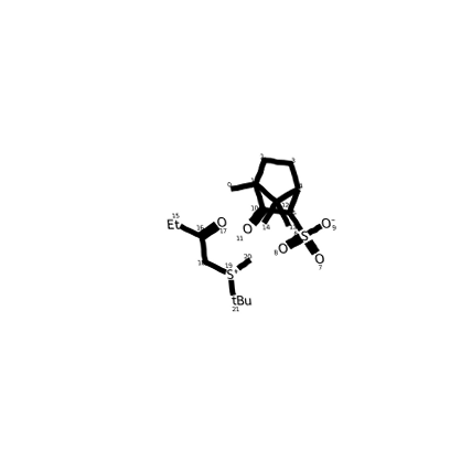 CC12CCC(C(S(=O)(=O)[O-])C1=O)C2(C)C.CCC(=O)C[S+](C)C(C)(C)C